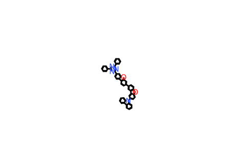 c1ccc(-c2nc(-c3ccccc3)nc(-c3ccc4c(c3)oc3cc(-c5ccc6oc7ccc(-n8c9ccccc9c9ccccc98)cc7c6c5)ccc34)n2)cc1